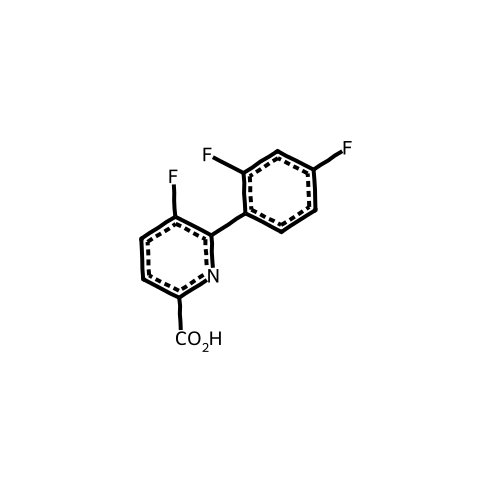 O=C(O)c1ccc(F)c(-c2ccc(F)cc2F)n1